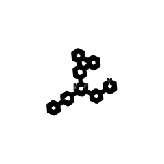 C1=CC(c2cc(-c3cccc(-c4cccnc4)c3)nc(C3C=Cc4c(c5ccccc5c5ccccc45)C3)n2)CC=C1c1ccccc1